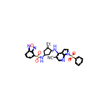 CC[C@@H]1CC(NS(=O)(=O)c2cccc3nonc23)C[C@@H]1Nc1c(C#N)cnc2c1ccn2S(=O)(=O)c1ccccc1